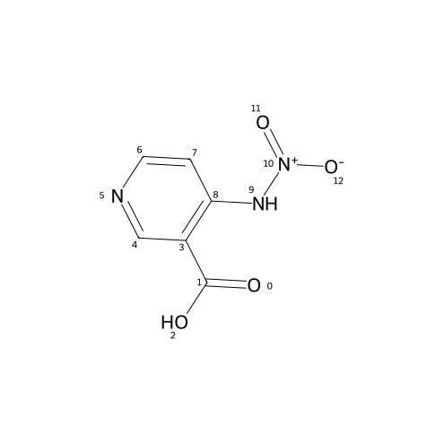 O=C(O)c1cnccc1N[N+](=O)[O-]